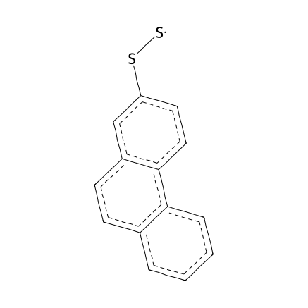 [S]Sc1ccc2c(ccc3ccccc32)c1